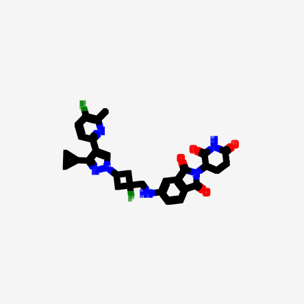 Cc1nc(-c2cn(C3CC(F)(CNc4ccc5c(c4)C(=O)N(C4CCC(=O)NC4=O)C5=O)C3)nc2C2CC2)ccc1F